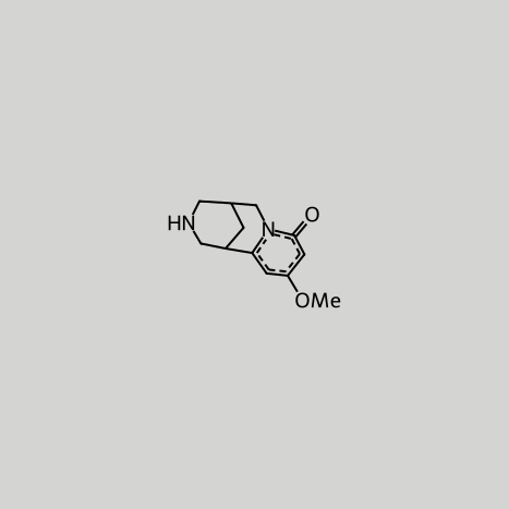 COc1cc2n(c(=O)c1)CC1CNCC2C1